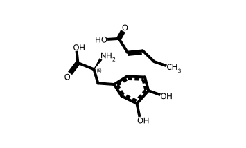 CCC=CC(=O)O.N[C@@H](Cc1ccc(O)c(O)c1)C(=O)O